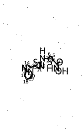 O=C(NO)c1ccc(Nc2ncc(-c3cnc4ccccn34)s2)s1